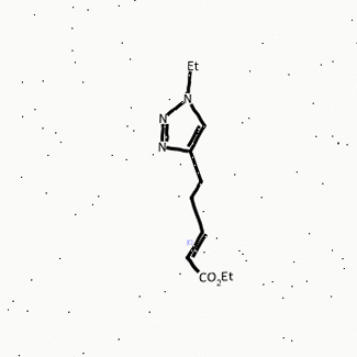 CCOC(=O)/C=C/CCc1cn(CC)nn1